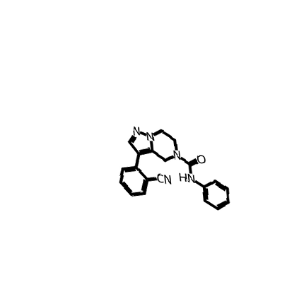 N#Cc1ccccc1-c1cnn2c1CN(C(=O)Nc1ccccc1)CC2